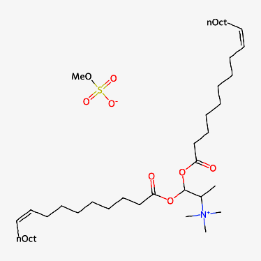 CCCCCCCC/C=C\CCCCCCCC(=O)OC(OC(=O)CCCCCCC/C=C\CCCCCCCC)C(C)[N+](C)(C)C.COS(=O)(=O)[O-]